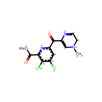 COC(=O)c1nc(C(=O)C2=CN(C)CC=N2)cc(Cl)c1Cl